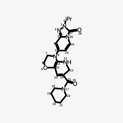 CC(C)n1nc2cc(N3CCOC4=C3NCC(C(=O)N3CCCCC3)=C4)ccn2c1=O